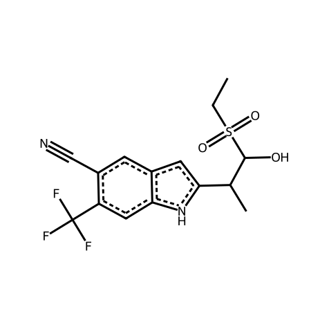 CCS(=O)(=O)C(O)C(C)c1cc2cc(C#N)c(C(F)(F)F)cc2[nH]1